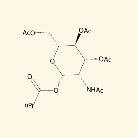 CCCC(=O)O[C@@H]1O[C@H](COC(C)=O)[C@@H](OC(C)=O)[C@H](OC(C)=O)[C@@H]1NC(C)=O